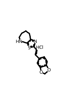 C(=Cc1nc2c(s1)NCCCC2)c1ccc2c(c1)OCO2.Cl